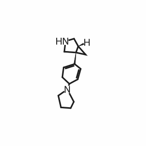 C1=CC(N2CCCC2)CC=C1[C@@]12CNC[C@@H]1C2